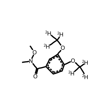 [2H]C([2H])([2H])Oc1ccc(C(=O)N(C)OC)cc1OC([2H])([2H])[2H]